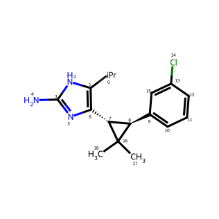 CC(C)c1[nH]c(N)nc1[C@@H]1[C@@H](c2cccc(Cl)c2)C1(C)C